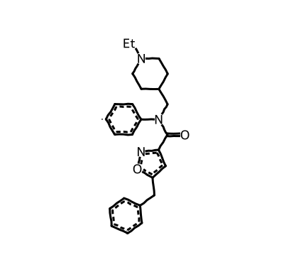 CCN1CCC(CN(C(=O)c2cc(Cc3ccccc3)on2)c2cc[c]cc2)CC1